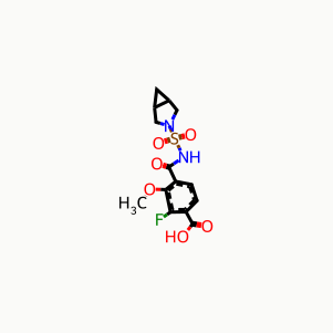 COc1c(C(=O)NS(=O)(=O)N2CC3CC3C2)ccc(C(=O)O)c1F